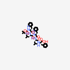 CC(C)C[C@H](NC(=O)[C@H](Cc1ccccc1)NC(=O)[C@H](CC(C)C)NC(=O)[C@H](Cc1ccccc1)NC(=O)OC(C)(C)C)C(=O)N[C@@H](Cc1ccccc1)C(=O)O